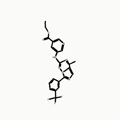 CCOC(=O)c1cncc(Nc2nc(C)c3cnc(-c4cccc(C(F)(F)F)c4)n3n2)c1